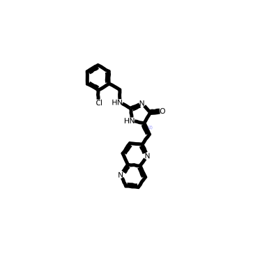 O=C1N=C(NCc2ccccc2Cl)N/C1=C\c1ccc2ncccc2n1